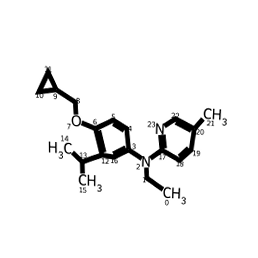 CCN(c1ccc(OCC2CC2)c(C(C)C)c1)c1ccc(C)cn1